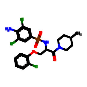 CC1CCN(C(=O)C(COc2ccccc2Cl)NS(=O)(=O)c2cc(Cl)c(N)c(Cl)c2)CC1